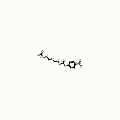 CC(=O)NCCOCCOC(=O)Oc1ccc([N+](=O)[O-])cc1